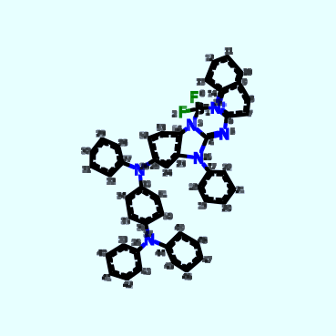 F[B-]1(F)N2C(=Nc3ccc4ccccc4[n+]31)N(c1ccccc1)c1cc(N(c3ccccc3)c3ccc(N(c4ccccc4)c4ccccc4)cc3)ccc12